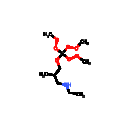 CCNCC(C)CO[Si](OOC)(OOC)OOC